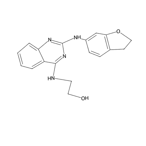 OCCNc1nc(Nc2ccc3c(c2)OCC3)nc2ccccc12